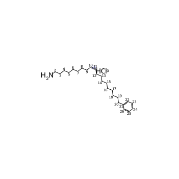 Cl.NCCCCCCCC/C=C\CCCCCCCCCc1ccccc1